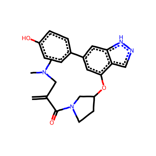 C=C(CN(C)C)C(=O)N1CCC(Oc2cc(-c3ccc(O)cc3)cc3[nH]ncc23)C1